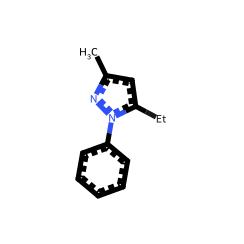 CCc1cc(C)nn1-c1ccccc1